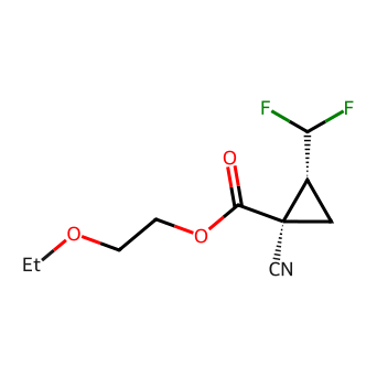 CCOCCOC(=O)[C@]1(C#N)C[C@H]1C(F)F